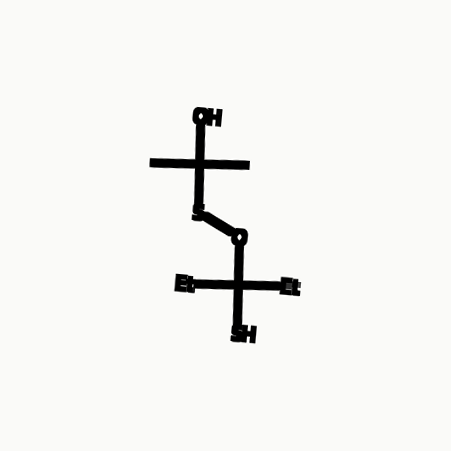 CCC(S)(CC)OSC(C)(C)O